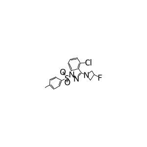 Cc1ccc(S(=O)(=O)n2nc(N3CC(F)C3)c3c(Cl)cccc32)cc1